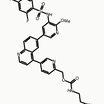 COc1ncc(-c2ccc3nccc(-c4ccc(COC(=O)NCCN)nc4)c3c2)cc1NS(=O)(=O)c1ccc(F)cc1F